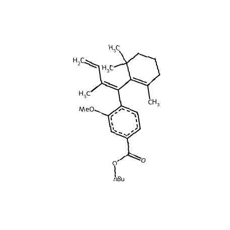 C=CC(C)=C(C1=C(C)CCCC1(C)C)c1ccc(C(=O)OCCCC)cc1OC